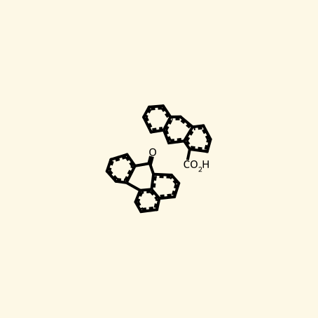 O=C(O)c1cccc2cc3ccccc3cc12.O=C1c2ccccc2-c2cccc3cccc1c23